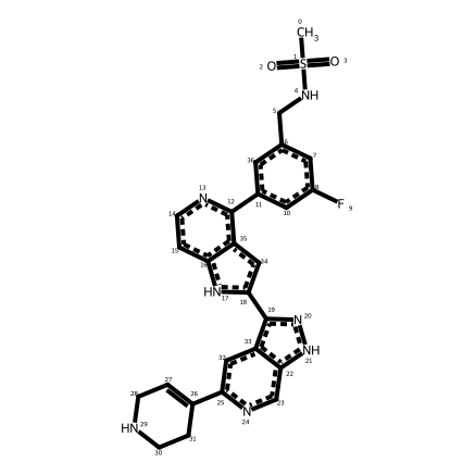 CS(=O)(=O)NCc1cc(F)cc(-c2nccc3[nH]c(-c4n[nH]c5cnc(C6=CCNCC6)cc45)cc23)c1